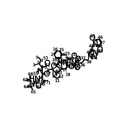 CC[C@H](C)[C@@H]([C@@H](CC(=O)N1CCC[C@H]1[C@H](OC)[C@@H](C)C(=O)N[C@@H](Cc1ccccc1)C(=O)NS(=O)(=O)CCCn1cc(CN2C(=O)C=CC2=O)nn1)OC)N(C)C(=O)[C@@H](NC(=O)N(C(C)C)C(C)C)C(C)C